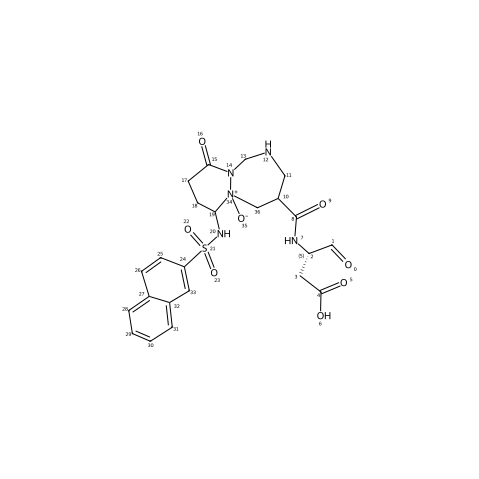 O=C[C@H](CC(=O)O)NC(=O)C1CNCN2C(=O)CCC(NS(=O)(=O)c3ccc4ccccc4c3)[N+]2([O-])C1